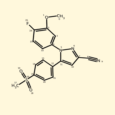 COc1cc(-n2nc(C#N)cc2-c2ccc(S(C)(=O)=O)cc2)ccc1F